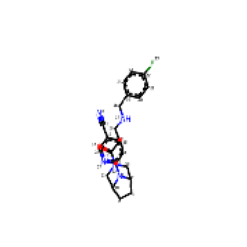 N#Cc1ccc(N2C3CCC2CN(C(=O)CCNCc2ccc(F)cc2)C3)nc1